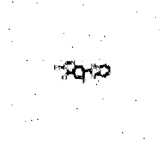 CCn1cnc2cc(-c3nc4ccccn4n3)c(F)cc2c1=O